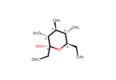 CC(=O)OC[C@H]1O[C@@](O)(CC=O)[C@H](OC(C)=O)[C@@H](OC(C)=O)[C@@H]1OC(C)=O